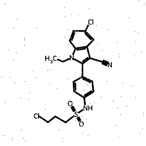 CCn1c(-c2ccc(NS(=O)(=O)CCCCl)cc2)c(C#N)c2cc(Cl)ccc21